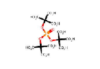 O=C(O)C(OP(=O)(OC(C(=O)O)(C(=O)O)C(=O)O)OC(C(=O)O)(C(=O)O)C(=O)O)(C(=O)O)C(=O)O